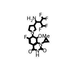 COC1c2c(c(=O)[nH]c(=O)n2C2CC2)C=C(F)C1N1CCC(C(N)C(C(F)F)C(F)F)C1